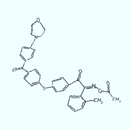 CC(=O)O/N=C(/C(=O)c1ccc(Sc2ccc(C(=O)c3ccc(N4CCOCC4)cc3)cc2)cc1)c1ccccc1C